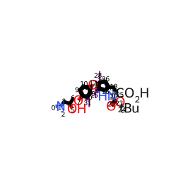 CN(C)CC(O)COc1ccc(Oc2c(I)cc(CC(NC(=O)OC(C)(C)C)C(=O)O)cc2I)cc1I